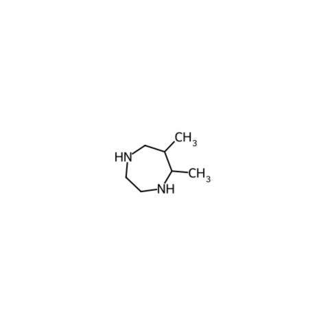 CC1CNCCNC1C